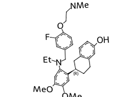 CCN(Cc1ccc(OCCNC)c(F)c1)c1cc(OC)c(OC)cc1[C@@H]1CCc2cc(O)ccc2C1